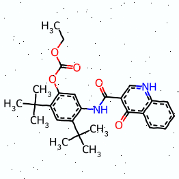 CCOC(=O)Oc1cc(NC(=O)c2c[nH]c3ccccc3c2=O)c(C(C)(C)C)cc1C(C)(C)C